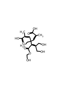 CCC(C=C(C)C(=O)O)(C=C(C)C(=O)O)C(C(=O)OCO)=C(CO)CO